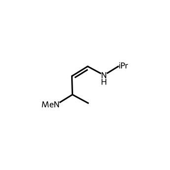 CNC(C)/C=C\NC(C)C